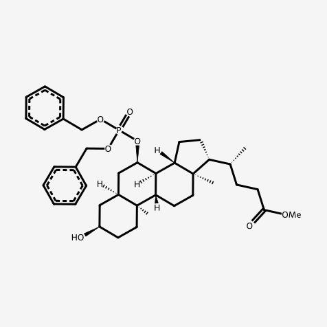 COC(=O)CC[C@@H](C)[C@H]1CC[C@H]2[C@@H]3[C@H](OP(=O)(OCc4ccccc4)OCc4ccccc4)C[C@@H]4C[C@H](O)CC[C@]4(C)[C@H]3CC[C@]12C